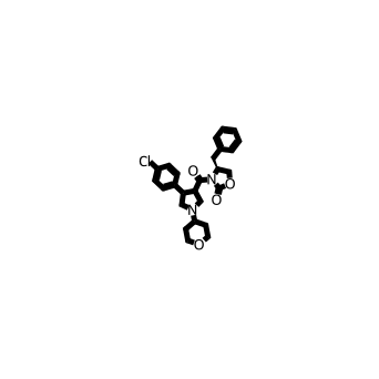 O=C1OC[C@H](Cc2ccccc2)N1C(=O)C1CN(C2CCOCC2)CC1c1ccc(Cl)cc1